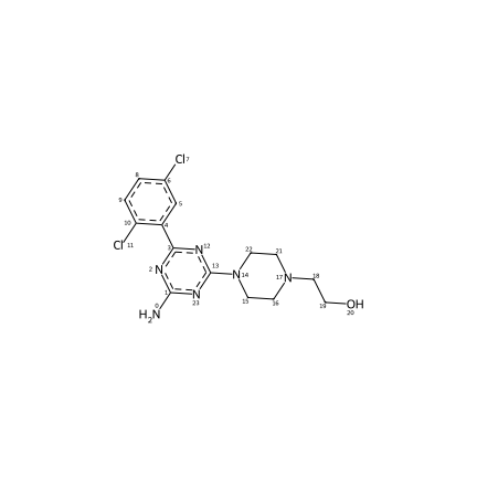 Nc1nc(-c2cc(Cl)ccc2Cl)nc(N2CCN(CCO)CC2)n1